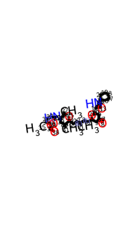 CC(/C=C/C1CC2(CO2)C[C@@H](CC(=O)NC2CCCCC2)O1)=C\CC1OC(C)C(NC(=O)/C=C\C(C)OC=O)CC1C